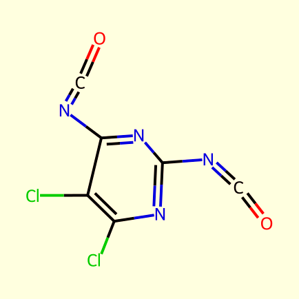 O=C=Nc1nc(Cl)c(Cl)c(N=C=O)n1